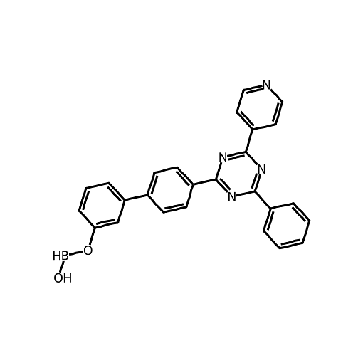 OBOc1cccc(-c2ccc(-c3nc(-c4ccccc4)nc(-c4ccncc4)n3)cc2)c1